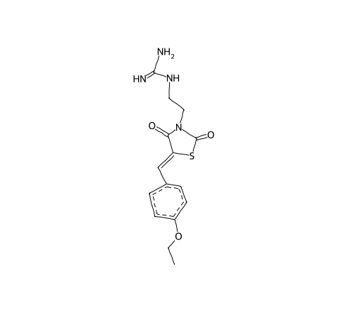 CCOc1ccc(/C=C2\SC(=O)N(CCNC(=N)N)C2=O)cc1